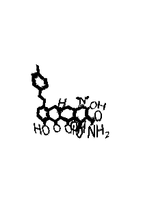 Cc1ccc(CCc2ccc(O)c3c2C[C@H]2CC4[C@H](N(C)C)C(O)=C(C(N)=O)C(=O)[C@@]4(O)C(O)=C2C3=O)cc1